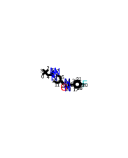 CC(C)(C)Cc1nnc2n1CCC(c1nc(-c3ccc(F)cc3)no1)C2